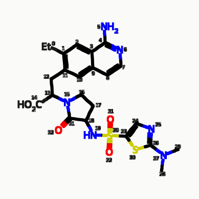 CCc1cc2c(N)nccc2cc1CC(C(=O)O)N1CCC(NS(=O)(=O)c2cnc(N(C)C)s2)C1=O